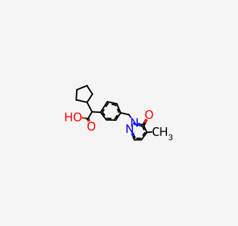 Cc1ccnn(Cc2ccc(C(C(=O)O)C3CCCC3)cc2)c1=O